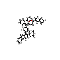 C[Si]1(C)c2cc(N(c3ccc(-c4ccc5ccccc5c4)cc3)c3ccccc3-c3ccccc3)ccc2-c2c1ccc1c2oc2ccccc21